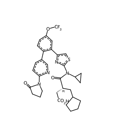 O=C(O)C[C@@H](CC1CCCC1)C(=O)N(c1nc(-c2cc(OC(F)(F)F)ccc2-c2ccc(N3CCCC3=O)nc2)cs1)C1CC1